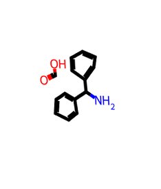 NC(c1ccccc1)c1ccccc1.O=CO